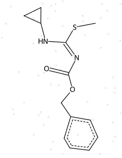 CS/C(=N/C(=O)OCc1ccccc1)NC1CC1